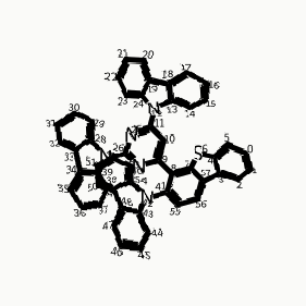 c1ccc2c(c1)sc1c(-c3cc(-n4c5ccccc5c5ccccc54)nc(-n4c5ccccc5c5ccccc54)n3)c(-n3c4ccccc4c4ccccc43)ccc12